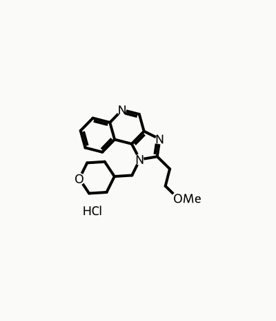 COCCc1nc2cnc3ccccc3c2n1CC1CCOCC1.Cl